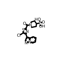 O=C(c1nc(-c2cnn3ccccc23)c(Cl)s1)N1CCC(P(=O)(O)O)CC1